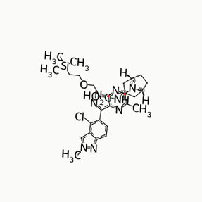 Cc1nc2c(-c3ccc4nn(C)cc4c3Cl)nn(COCC[Si](C)(C)C)c2nc1N1[C@@H]2CC[C@H]1C[C@@H](NC(=O)O)C2